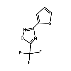 FC(F)(F)c1nc(-c2cccs2)no1